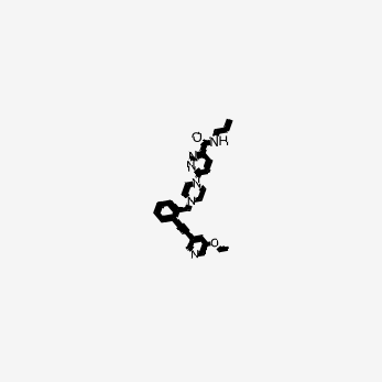 CCCNC(=O)c1ccc(N2CCN(Cc3ccccc3C#Cc3cncc(OCC)c3)CC2)nn1